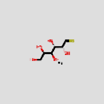 OC[C@@H](O)[C@H](O)[C@H](O)[C@@H](O)C=S.[Au]